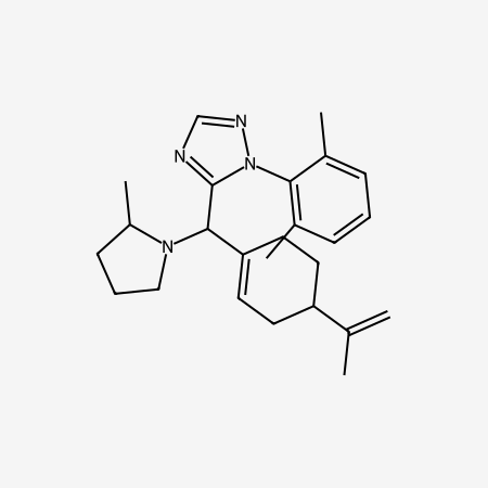 C=C(C)C1CC=C(C(c2ncnn2-c2c(C)cccc2C)N2CCCC2C)CC1